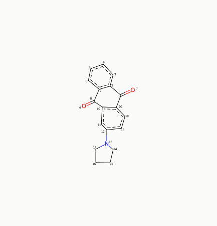 O=C1c2ccccc2C(=O)c2cc(N3CCCC3)ccc21